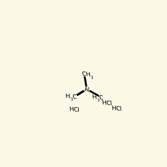 Cl.Cl.Cl.[CH3][Al]([CH3])[CH3]